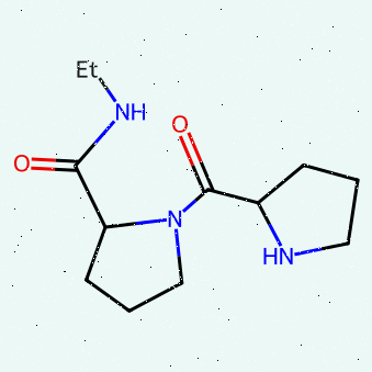 CCNC(=O)C1CCCN1C(=O)C1CCCN1